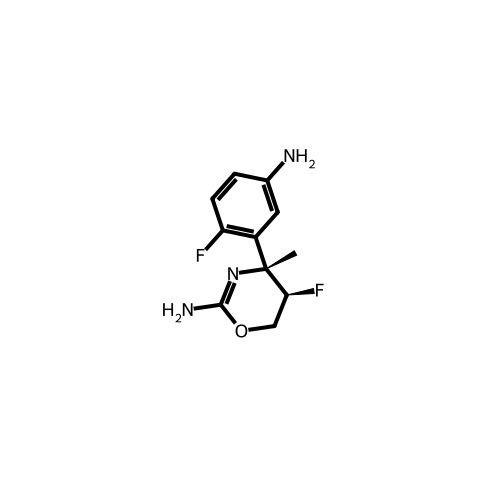 C[C@]1(c2cc(N)ccc2F)N=C(N)OC[C@@H]1F